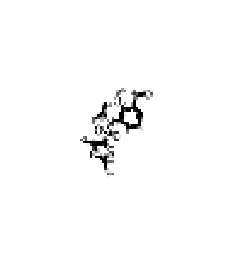 COc1c(C=O)cccc1N(C(C)C)S(=O)(=O)c1sc(C)nc1C